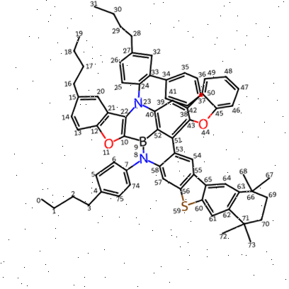 CCCCc1ccc(N2B3c4oc5ccc(CCCC)cc5c4N(c4ccc(CCCC)cc4-c4ccccc4)c4cc5c(oc6ccccc65)c(c43)-c3cc4c(cc32)sc2cc3c(cc24)C(C)(C)CCC3(C)C)cc1